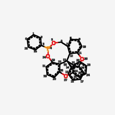 c1ccc(P2OCc3cccc4c3[C@]3(c5ccccc5O4)c4ccccc4Oc4cccc(c43)O2)cc1